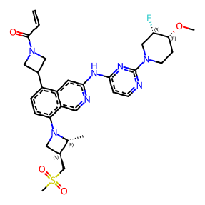 C=CC(=O)N1CC(c2ccc(N3C[C@H](CS(C)(=O)=O)[C@H]3C)c3cnc(Nc4ccnc(N5CC[C@@H](OC)[C@@H](F)C5)n4)cc23)C1